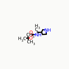 C[C@@H](NC(=O)OC(C)(C)C)C1CCNC1